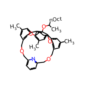 CCCCCCCCC(C)Oc1c2cc(C)cc1-c1cc(C)cc3c1OCCCCOc1c(cc(C)cc1-2)COCc1cccc(n1)COC3